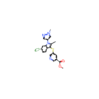 COC(=O)c1cncc(Sc2c(C)n(-c3cnn(C)c3)c3cc(Cl)ccc23)c1